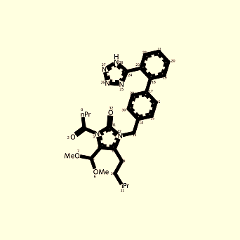 CCCC(=O)n1c(C(OC)OC)c(CCC(C)C)n(Cc2ccc(-c3ccccc3-c3nnn[nH]3)cc2)c1=O